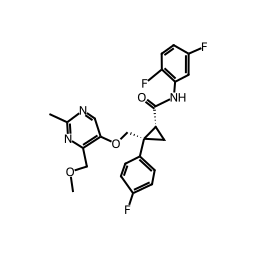 COCc1nc(C)ncc1OC[C@@]1(c2ccc(F)cc2)C[C@H]1C(=O)Nc1cc(F)ccc1F